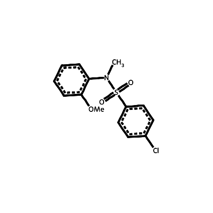 COc1ccccc1N(C)S(=O)(=O)c1ccc(Cl)cc1